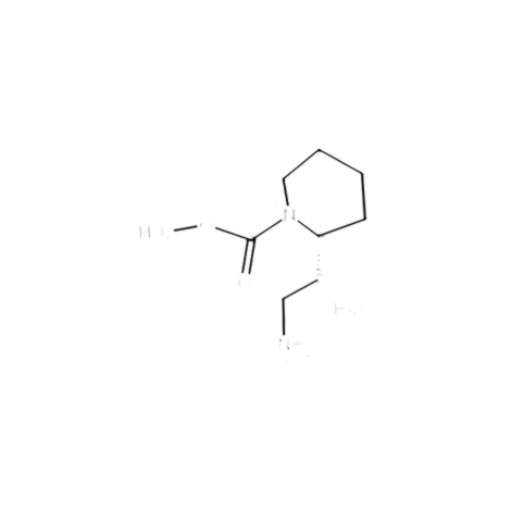 COC(=O)N1CCCC[C@@H]1CCN.Cl